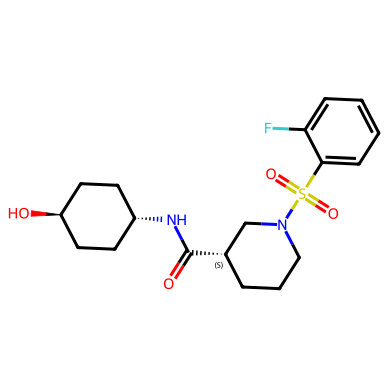 O=C(N[C@H]1CC[C@H](O)CC1)[C@H]1CCCN(S(=O)(=O)c2ccccc2F)C1